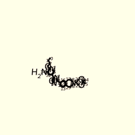 CCCOc1ncc(-c2nc(-c3ccc4c(c3)CCN(C3COC(C)(C)OC3)CC4)no2)cc1N